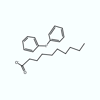 CCCCCCCCCC(=O)[O-].c1ccc([I+]c2ccccc2)cc1